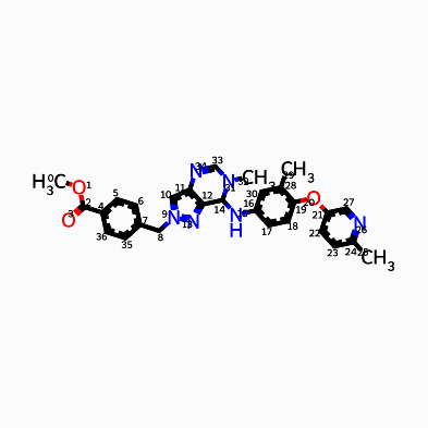 COC(=O)c1ccc(Cn2cc3c(n2)C(Nc2ccc(Oc4ccc(C)nc4)c(C)c2)N(C)C=N3)cc1